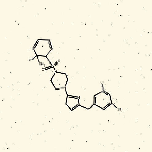 Cc1cc(C)cc(Cc2csc(N3CCN(S(=O)(=O)C4C=CC=CC4(C)Cl)CC3)n2)c1